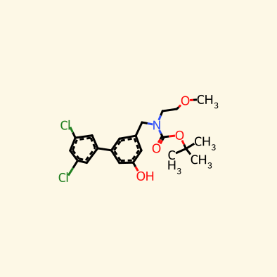 COCCN(Cc1cc(O)cc(-c2cc(Cl)cc(Cl)c2)c1)C(=O)OC(C)(C)C